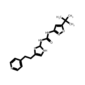 CC(C)(C)c1cc(NC(=O)NC2NC=C(CCc3ccncc3)S2)no1